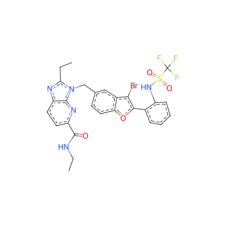 CCNC(=O)c1ccc2nc(CC)n(Cc3ccc4oc(-c5ccccc5NS(=O)(=O)C(F)(F)F)c(Br)c4c3)c2n1